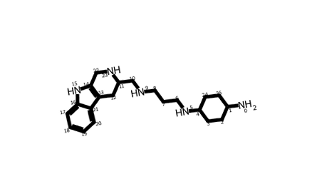 NC1CCC(NCCCNCC2Cc3c([nH]c4ccccc34)CN2)CC1